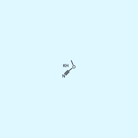 COC#N.[KH]